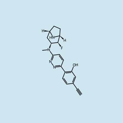 C#Cc1ccc(-c2ccc(N(C)[C@H]3C[C@@H]4CC[C@@H](N4)[C@H]3F)nn2)c(O)c1